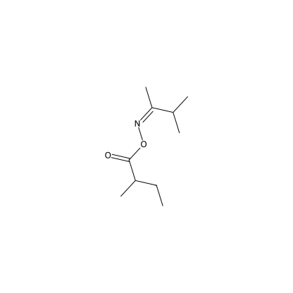 CCC(C)C(=O)O/N=C(/C)C(C)C